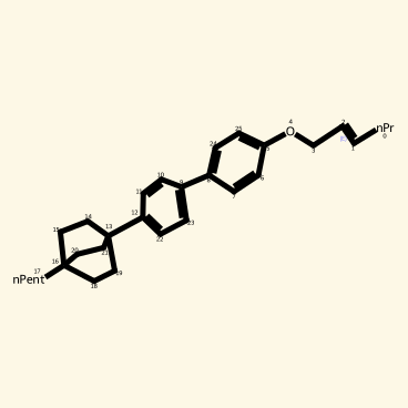 CCC/C=C/COc1ccc(-c2ccc(C34CCC(CCCCC)(CC3)CC4)cc2)cc1